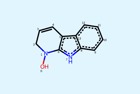 ON1CC=Cc2c1[nH]c1ccccc21